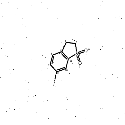 O=S1(=O)CCc2ccc(I)cc21